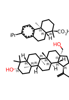 C=C(C)[C@@H]1CC[C@]2(CO)CC[C@]3(C)[C@H](CC[C@@H]4[C@@]5(C)CC[C@H](O)C(C)(C)[C@@H]5CC[C@]43C)[C@@H]12.CC(C)c1ccc2c(c1)CC[C@H]1[C@](C)(C(=O)O)CCC[C@]21C